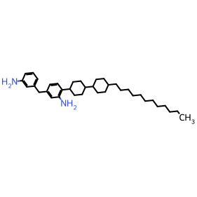 CCCCCCCCCCCCC1CCC(C2CCC(c3ccc(Cc4cccc(N)c4)cc3N)CC2)CC1